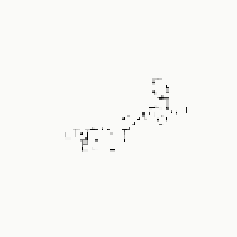 CCN(CC)CCCNc1ccc(NC=C2C(=O)Nc3ccccc32)cc1C